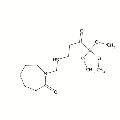 CO[Si](OC)(OC)C(=O)CCNCN1CCCCCC1=O